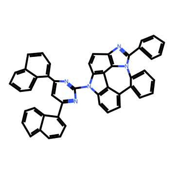 c1ccc(-c2nc3ccc4c5c6c(cccc6n4-c4nc(-c6cccc7ccccc67)cc(-c6cccc7ccccc67)n4)c4ccccc4n2c35)cc1